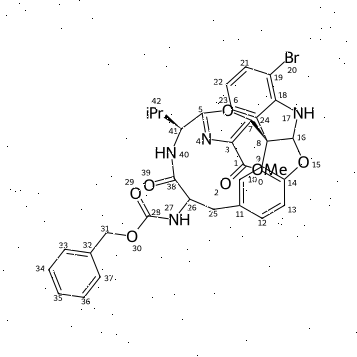 COC(=O)c1nc2oc1[C@]13c4cc(ccc4OC1Nc1c(Br)cccc13)CC(NC(=O)OCc1ccccc1)C(=O)N[C@H]2C(C)C